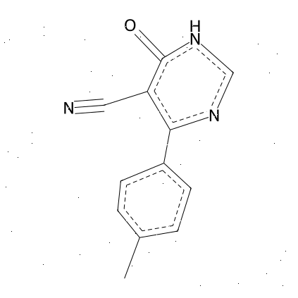 Cc1ccc(-c2nc[nH]c(=O)c2C#N)cc1